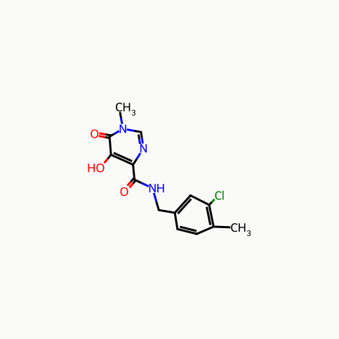 Cc1ccc(CNC(=O)c2ncn(C)c(=O)c2O)cc1Cl